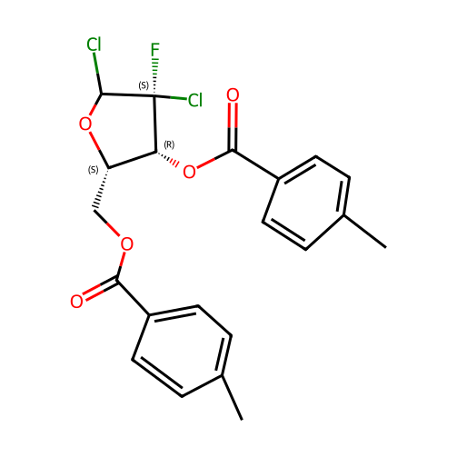 Cc1ccc(C(=O)OC[C@@H]2OC(Cl)[C@@](F)(Cl)[C@@H]2OC(=O)c2ccc(C)cc2)cc1